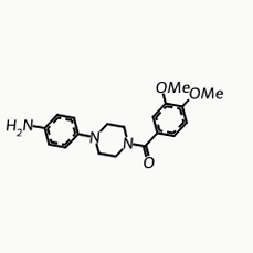 COc1ccc(C(=O)N2CCN(c3ccc(N)cc3)CC2)cc1OC